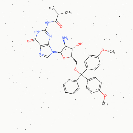 COc1ccc(C(OC[C@H]2O[C@@H](n3cnc4c(=O)[nH]c(NC(=O)C(C)C)nc43)[C@@H](N)[C@@H]2O)(c2ccccc2)c2ccc(OC)cc2)cc1